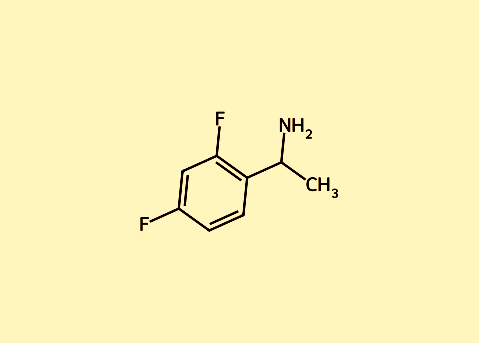 CC(N)c1ccc(F)cc1F